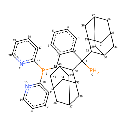 PC(c1ccccc1CP(c1ccccn1)c1ccccn1)(C1C2CC3CC(C2)CC1C3)C1C2CC3CC(C2)CC1C3